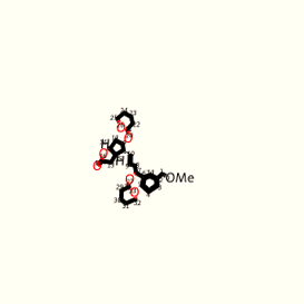 COCc1cccc(C(CC=C[C@@H]2[C@H]3CC(=O)O[C@H]3C[C@H]2OC2CCCCO2)OC2CCCCO2)c1